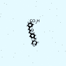 O=C(Cc1ccc(CN2CCOCC2)cc1)Cc1ccc(C(=O)O)cc1